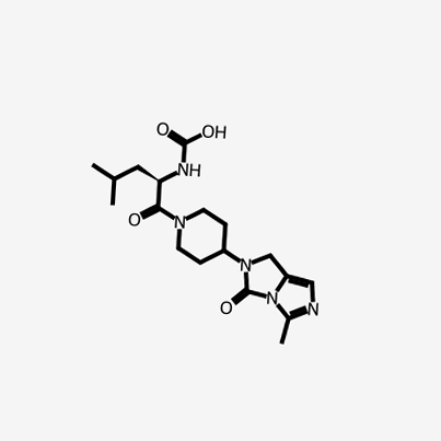 Cc1ncc2n1C(=O)N(C1CCN(C(=O)[C@@H](CC(C)C)NC(=O)O)CC1)C2